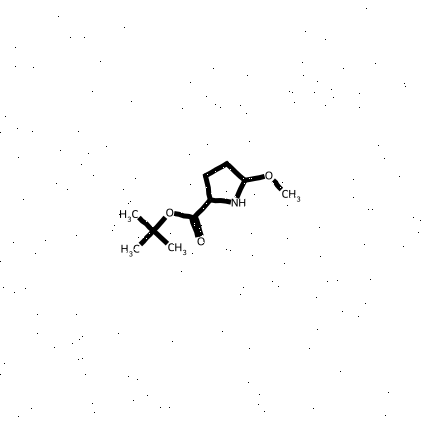 COC1CCC(C(=O)OC(C)(C)C)N1